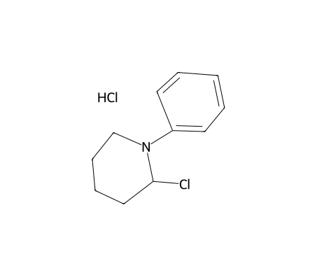 Cl.ClC1CCCCN1c1ccccc1